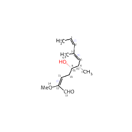 C/C=C\C(C)=C\[C@H](C)[C@@H](O)C/C=C(\C=O)OC